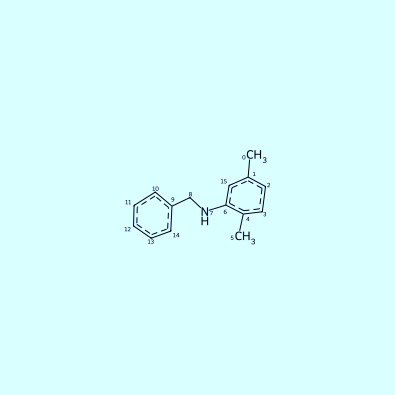 Cc1ccc(C)c(NCc2ccccc2)c1